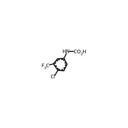 O=C(O)Nc1ccc(Cl)c(C(F)(F)F)c1